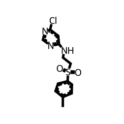 Cc1ccc(S(=O)(=O)CCNc2cc(Cl)ncn2)cc1